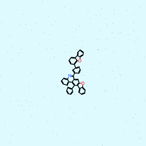 c1ccc(-c2c3c(cc4c(-c5cccc(-c6cccc7c6oc6ccccc67)c5)nc5ccccc5c24)oc2ccccc23)cc1